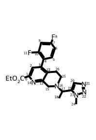 CCOC(=O)c1cc(-c2ccc(F)cc2F)c2c(n1)CN(C(C)c1cnnn1C)CC2